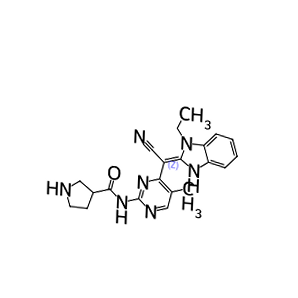 CCN1/C(=C(\C#N)c2nc(NC(=O)C3CCNC3)ncc2C)Nc2ccccc21